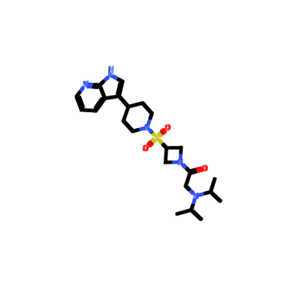 CC(C)N(CC(=O)N1CC(S(=O)(=O)N2CCC(c3c[nH]c4ncccc34)CC2)C1)C(C)C